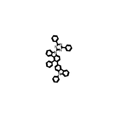 c1ccc(-c2nc(-c3ccccc3)nc(-n3c4ccccc4c4c(-c5ccccc5)c(-c5ccc6c(c5)c5ccccc5n6-c5ccccc5)ccc43)n2)cc1